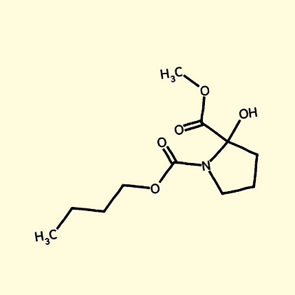 CCCCOC(=O)N1CCCC1(O)C(=O)OC